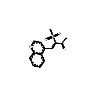 CC(=O)C(=Cc1ccnc2ccccc12)S(C)(=O)=O